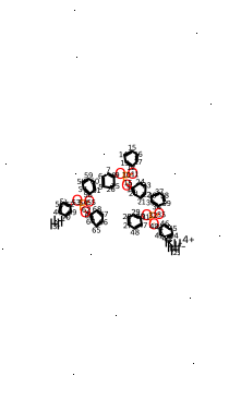 [H-].[H-].[H-].[H-].[Ru+4].c1ccc(OP(Oc2ccccc2)Oc2ccccc2)cc1.c1ccc(OP(Oc2ccccc2)Oc2ccccc2)cc1.c1ccc(OP(Oc2ccccc2)Oc2ccccc2)cc1